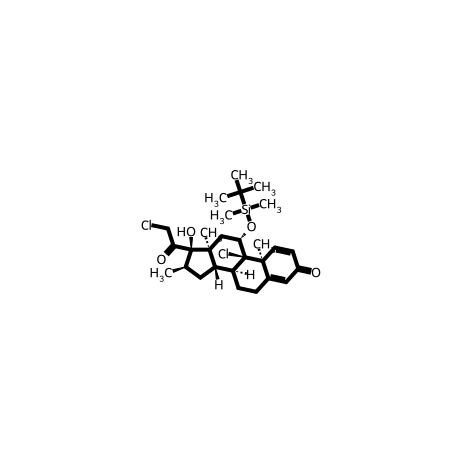 C[C@@H]1C[C@H]2[C@@H]3CCC4=CC(=O)C=C[C@]4(C)[C@@]3(Cl)[C@@H](O[Si](C)(C)C(C)(C)C)C[C@]2(C)[C@@]1(O)C(=O)CCl